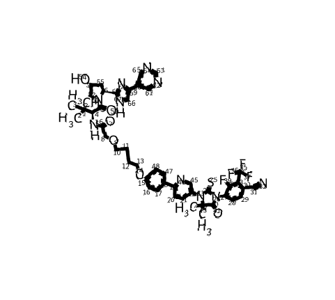 CC(C)(C)[C@H](NC(=O)COCCCCOc1ccc(-c2ccc(N3C(=S)N(c4ccc(C#N)c(C(F)(F)F)c4F)C(=O)C3(C)C)cn2)cc1)C(=O)N1C[C@H](O)C[C@H]1c1nc(-c2cncnc2)c[nH]1